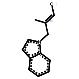 C/C(=C\O)Cn1ccc2ccccc21